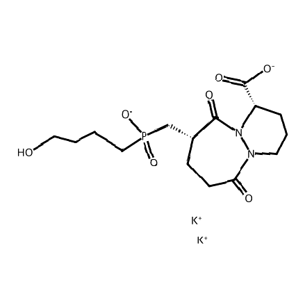 O=C([O-])[C@@H]1CCCN2C(=O)CC[C@H](CP(=O)([O-])CCCCO)C(=O)N12.[K+].[K+]